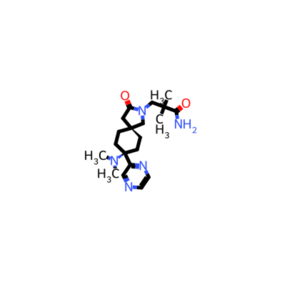 CN(C)[C@]1(c2cnccn2)CC[C@@]2(CC1)CC(=O)N(CC(C)(C)C(N)=O)C2